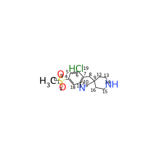 CS(=O)(=O)c1ccc(CC2(C#N)CCNCC2)cc1.Cl